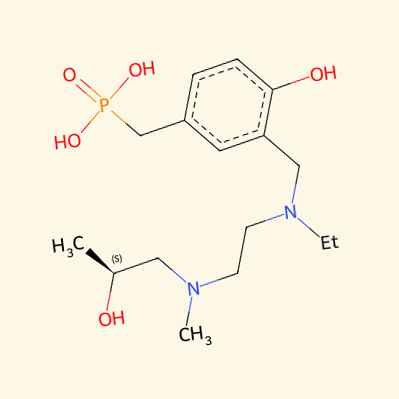 CCN(CCN(C)C[C@H](C)O)Cc1cc(CP(=O)(O)O)ccc1O